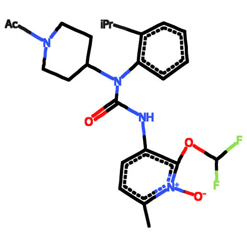 CC(=O)N1CCC(N(C(=O)Nc2ccc(C)[n+]([O-])c2OC(F)F)c2ccccc2C(C)C)CC1